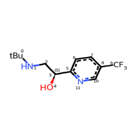 CC(C)(C)NC[C@H](O)c1ccc(C(F)(F)F)cn1